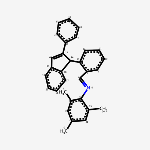 Cc1cc(C)c(N=Cc2ccccc2C2C(c3ccccc3)=Cc3ccccc32)c(C)c1